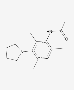 CC(=O)Nc1c(C)cc(C)c(N2CCCC2)c1C